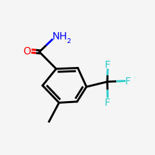 Cc1cc(C(N)=O)cc(C(F)(F)F)c1